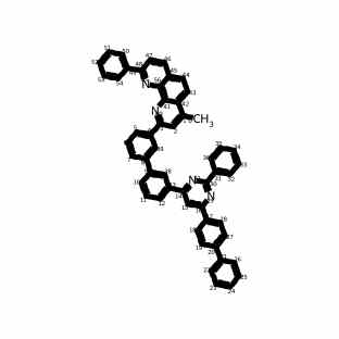 Cc1cc(-c2cccc(-c3cccc(-c4cc(-c5ccc(-c6ccccc6)cc5)nc(-c5ccccc5)n4)c3)c2)nc2c1ccc1ccc(-c3ccccc3)nc12